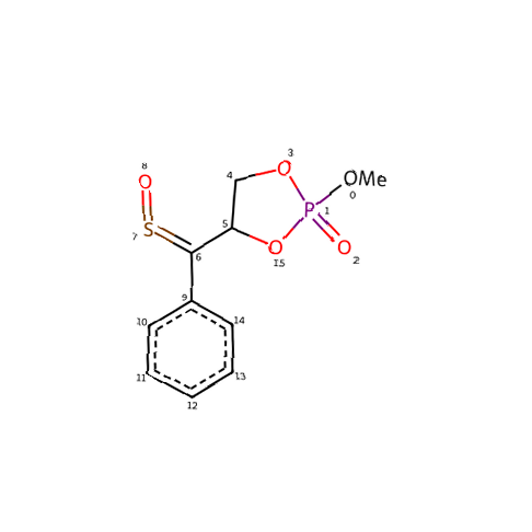 COP1(=O)OCC(C(=S=O)c2ccccc2)O1